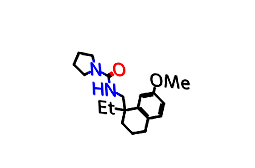 CCC1(CNC(=O)N2CCCC2)CCCc2ccc(OC)cc21